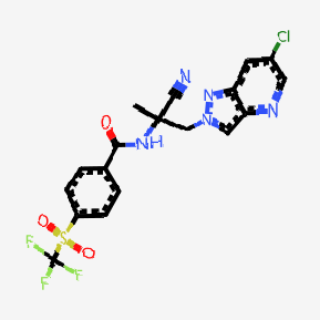 CC(C#N)(Cn1cc2ncc(Cl)cc2n1)NC(=O)c1ccc(S(=O)(=O)C(F)(F)F)cc1